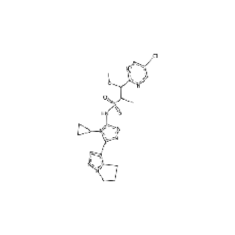 COC(c1ncc(Cl)cn1)C(C)S(=O)(=O)Nc1nnc(-c2cnn3c2CCC3)n1C1CC1